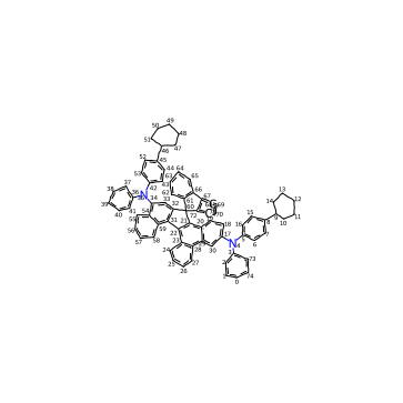 c1ccc(N(c2ccc(C3CCCCC3)cc2)c2ccc3c4c(c5ccccc5c3c2)-c2c(cc(N(c3ccccc3)c3ccc(C5CCCCC5)cc3)c3ccccc23)C42c3ccccc3-c3ccccc32)cc1